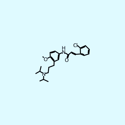 COc1ccc(NC(=O)C=Cc2ccccc2Cl)cc1CCCN(C(C)C)C(C)C